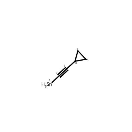 [SnH3][C]#CC1CC1